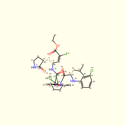 CCOC(=O)/C(F)=C\[C@@H](C[C@H]1CCNC1=O)NC(=O)[C@@H]1[C@H]2CC[C@H](CC2(F)F)N1C(=O)[C@H](CC(C)C)Nc1cccc(Cl)c1